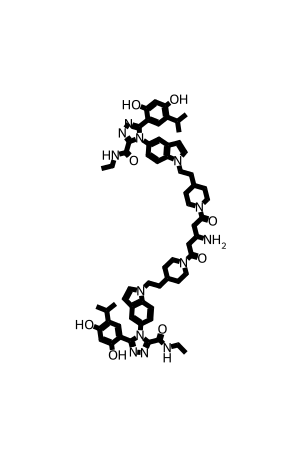 CCNC(=O)c1nnc(-c2cc(C(C)C)c(O)cc2O)n1-c1ccc2c(ccn2CCC2CCN(C(=O)CC(N)CC(=O)N3CCC(CCn4ccc5cc(-n6c(C(=O)NCC)nnc6-c6cc(C(C)C)c(O)cc6O)ccc54)CC3)CC2)c1